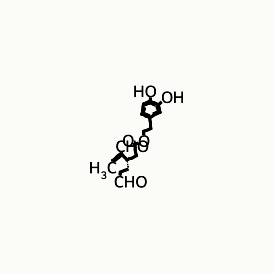 C/C=C(/C=O)[C@@H](CCC=O)CC(=O)OCCc1ccc(O)c(O)c1